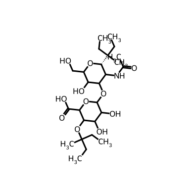 CCC(C)(CC)OC1C(C(=O)O)OC(OC2C(O)C(CO)O[C@H](C(C)(CC)CC)C2NC(C)=O)C(O)C1O